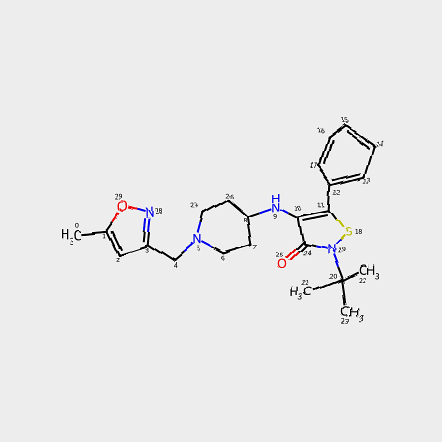 Cc1cc(CN2CCC(Nc3c(-c4ccccc4)sn(C(C)(C)C)c3=O)CC2)no1